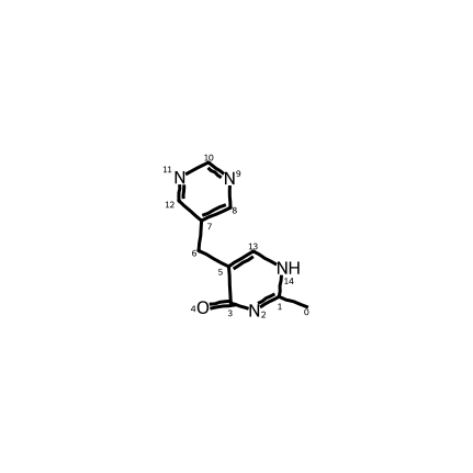 Cc1nc(=O)c(Cc2cncnc2)c[nH]1